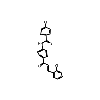 O=C(C=Cc1ccccc1Cl)c1ccc(NC(=O)c2ccc(Cl)cc2)cc1